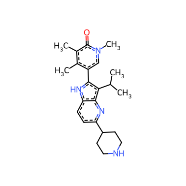 Cc1c(-c2[nH]c3ccc(C4CCNCC4)nc3c2C(C)C)cn(C)c(=O)c1C